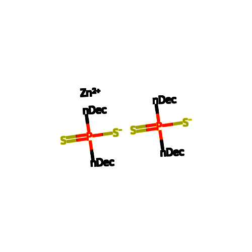 CCCCCCCCCCP(=S)([S-])CCCCCCCCCC.CCCCCCCCCCP(=S)([S-])CCCCCCCCCC.[Zn+2]